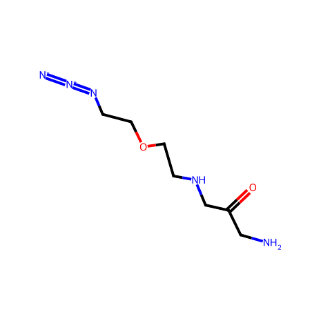 [N-]=[N+]=NCCOCCNCC(=O)CN